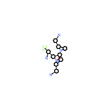 N#Cc1cccc(-c2ccc3c(c2)c2ccccc2n3-c2ccc(C#N)c(-c3cc(-c4ccc(C(F)(F)F)cc4C#N)ccc3-n3c4ccccc4c4cc(-c5cccc(C#N)c5)ccc43)c2)c1